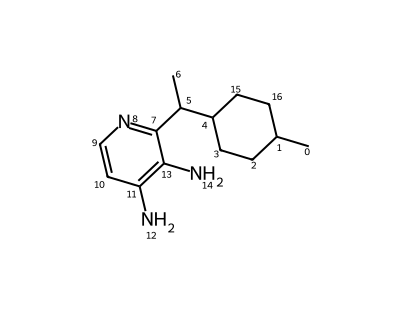 CC1CCC(C(C)c2nccc(N)c2N)CC1